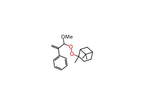 C=C(c1ccccc1)C(OC)OOC1(C)CCC2CC1C2(C)C